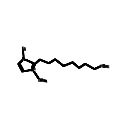 CCCCCCCCCCCCCCCCCCc1n(CC)cc[n+]1CCCCCC